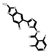 Cc1nc2cc(Cl)c(-c3ncc(NC(=O)c4c(F)cncc4F)s3)cc2o1